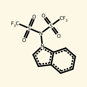 O=S(=O)(N(n1ccc2ccccc21)S(=O)(=O)C(F)(F)F)C(F)(F)F